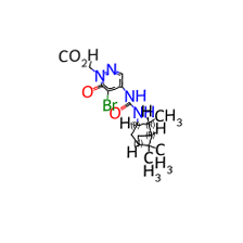 C[C@@H]1[C@H]2C[C@@H](C[C@H]1NC(=O)Nc1cnn(CC(=O)O)c(=O)c1Br)C2(C)C